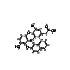 O=C(O)Cc1cc(Br)c(Oc2ccc(O)c(Oc3ccc4ccccc4c3)c2)c(Br)c1